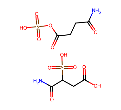 NC(=O)C(CC(=O)O)S(=O)(=O)O.NC(=O)CCC(=O)OS(=O)(=O)O